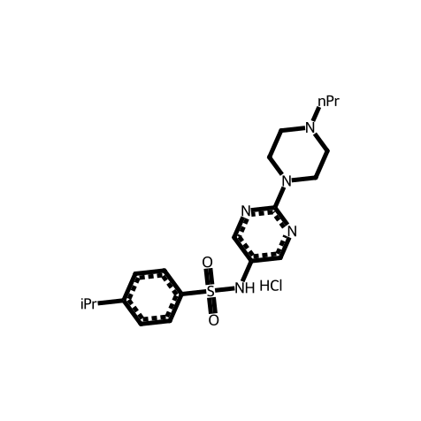 CCCN1CCN(c2ncc(NS(=O)(=O)c3ccc(C(C)C)cc3)cn2)CC1.Cl